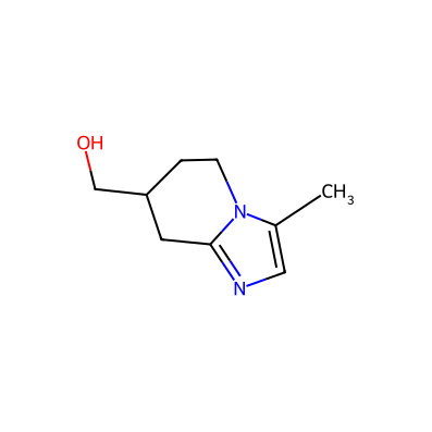 Cc1cnc2n1CCC(CO)C2